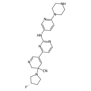 N#CC1(N2CC[C@H](F)C2)C=C(c2ccnc(Nc3ccc(N4CCNCC4)nc3)n2)C=NC1